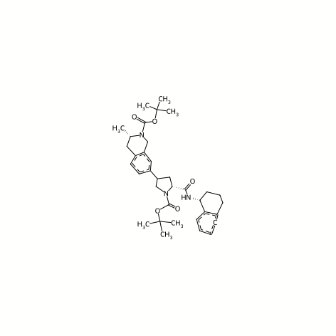 C[C@H]1Cc2ccc(C3C[C@H](C(=O)N[C@@H]4CCCc5ccccc54)N(C(=O)OC(C)(C)C)C3)cc2CN1C(=O)OC(C)(C)C